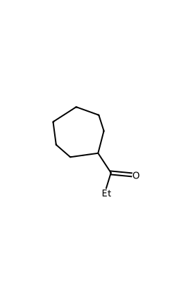 CCC(=O)C1CCCCCC1